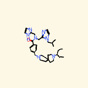 CCC(CC)N1CCC2(CCN(Cc3ccc(C(=O)N(Cc4ncc[nH]4)Cc4nccn4CC(C)C)cc3)C2)CC1